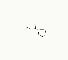 C=COC(C)N1CCOCC1